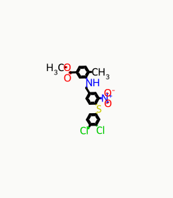 COC(=O)c1ccc(C)c(NCc2ccc(Sc3ccc(Cl)c(Cl)c3)c([N+](=O)[O-])c2)c1